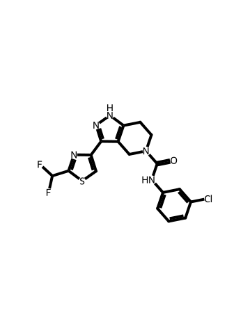 O=C(Nc1cccc(Cl)c1)N1CCc2[nH]nc(-c3csc(C(F)F)n3)c2C1